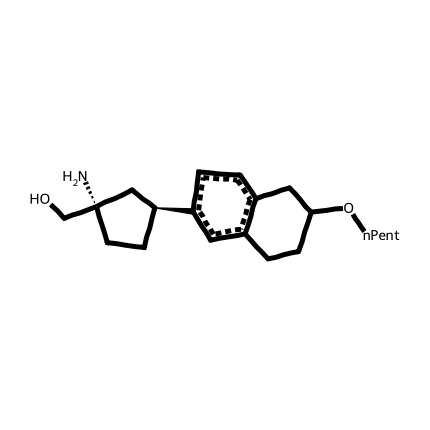 CCCCCOC1CCc2cc([C@H]3CC[C@@](N)(CO)C3)ccc2C1